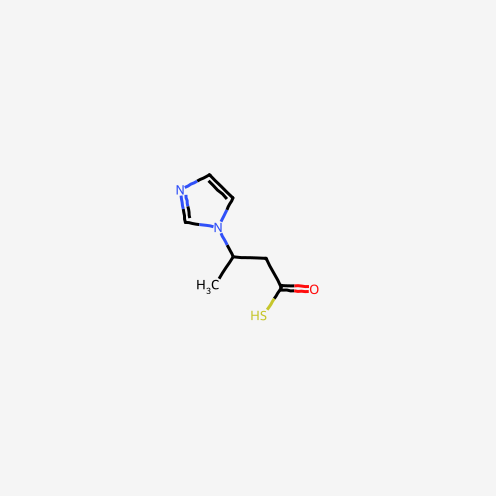 CC(CC(=O)S)n1ccnc1